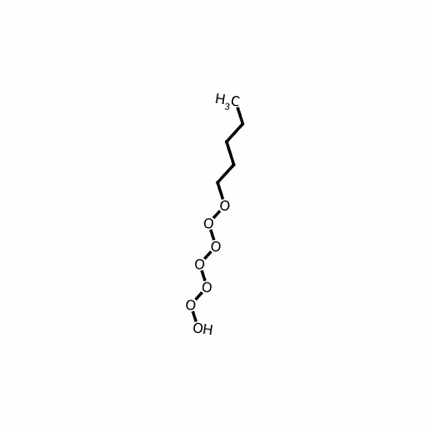 CCCCCOOOOOOO